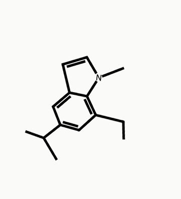 CCc1cc(C(C)C)cc2ccn(C)c12